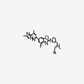 Cc1cn2nc(-c3cc(F)c4nc(N5CCC(CN(C)CC6CC6)C5)oc4c3)cc(C)c2n1